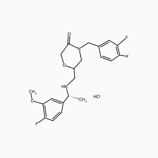 COc1cc([C@@H](C)NCC2CN(Cc3ccc(F)c(F)c3)C(=O)CO2)ccc1F.Cl